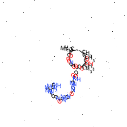 CO[C@H]1CC2CCCC(O2)C(=O)C(=O)N2CCCC[C@H]2C(=O)O[C@H](CC[C@H]2CC[C@H](OC(=O)NCc3cnc(N4CCN(CCOCCN5CCN(c6ncc(C(=O)N7CCc8cc(Cn9nc(-c%10cnc%11[nH]ccc%11c%10)c%10c(N)ncnc%109)ccc8C7)cn6)CC5)CC4)nc3)CC2)CC(=O)[C@H](C)/C=C(\C)[C@@H](O)CC(=O)[C@H](C)C[C@H](C)/C=C/C=C/C=C/1C